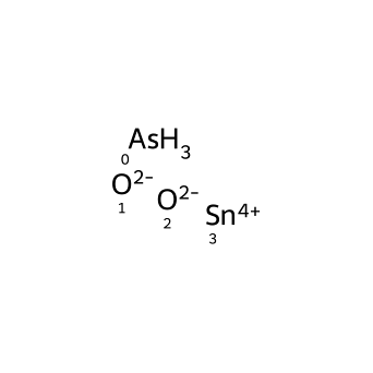 [AsH3].[O-2].[O-2].[Sn+4]